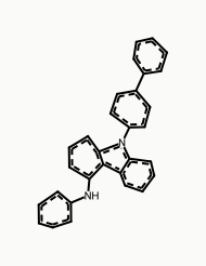 c1ccc(Nc2cccc3c2c2ccccc2n3-c2ccc(-c3ccccc3)cc2)cc1